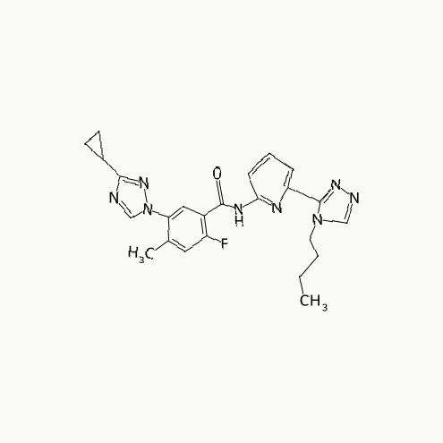 CCCCn1cnnc1-c1cccc(NC(=O)c2cc(-n3cnc(C4CC4)n3)c(C)cc2F)n1